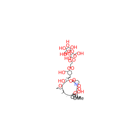 C=CCC1/C=C(\C)C[C@@H](C)C[C@H](OC)[C@H]2O[C@@](O)(C(=O)C(=O)N3CCCCC3C(=O)O[C@H](/C(C)=C/C3CCC(OC(=O)CCC(=O)OC4OC(CO)C(OC5OC(CO)C(O)C(O)C5O)C(O)C4O)[C@H](CO)C3)[C@H](C)[C@H](O)CC1=O)[C@H](C)CC2OC